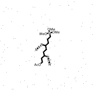 CO[Si](CCCC(CCC(CCOC(C)=O)N=[N+]=[N-])N=[N+]=[N-])(OC)OC